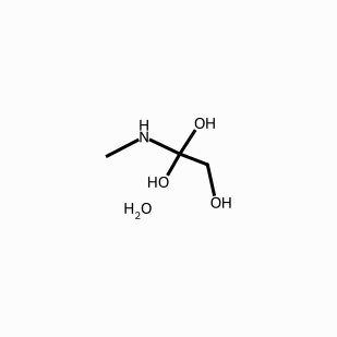 CNC(O)(O)CO.O